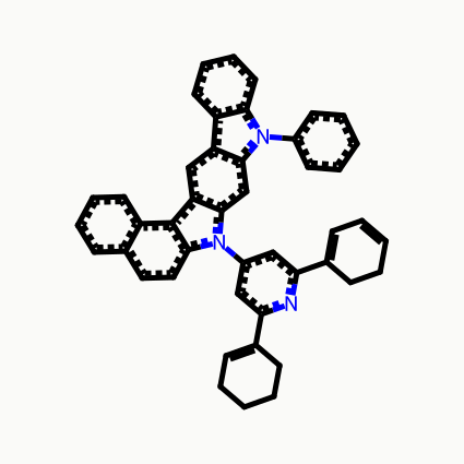 C1=CCCC(c2cc(-n3c4cc5c(cc4c4c6ccccc6ccc43)c3ccccc3n5-c3ccccc3)cc(C3=CCCCC3)n2)=C1